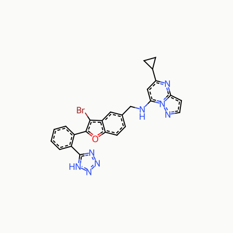 Brc1c(-c2ccccc2-c2nnn[nH]2)oc2ccc(CNc3cc(C4CC4)nc4ccnn34)cc12